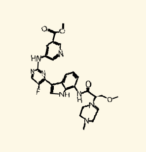 COC[C@H](C(=O)Nc1cccc2c(-c3nc(Nc4cncc(C(=O)OC)c4)ncc3F)c[nH]c12)N1CCN(C)CC1